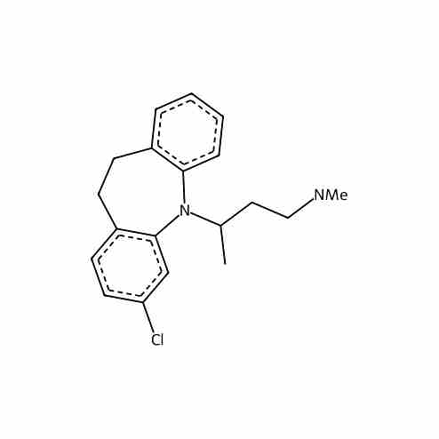 CNCCC(C)N1c2ccccc2CCc2ccc(Cl)cc21